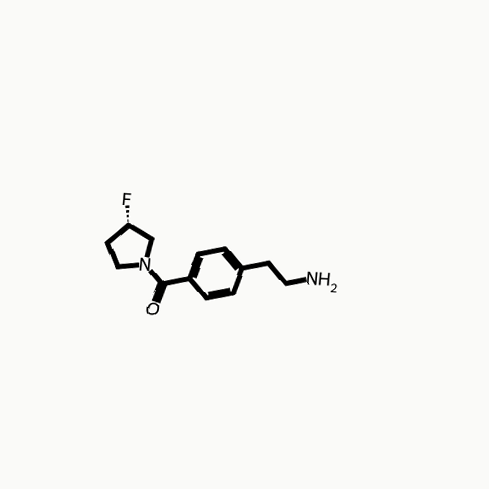 NCCc1ccc(C(=O)N2CC[C@H](F)C2)cc1